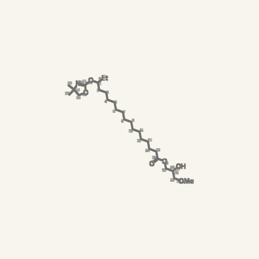 CCC(CCCCCCCCCCCCCCC(=O)OC[C@@H](O)COC)OC1=NC(C)(C)CO1